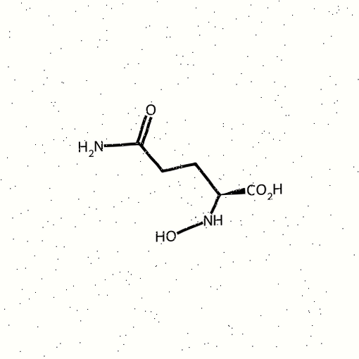 NC(=O)CC[C@H](NO)C(=O)O